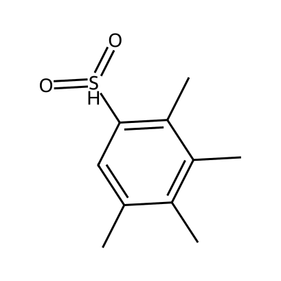 Cc1cc([SH](=O)=O)c(C)c(C)c1C